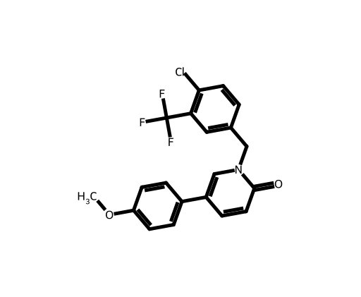 COc1ccc(-c2ccc(=O)n(Cc3ccc(Cl)c(C(F)(F)F)c3)c2)cc1